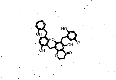 O=C1CCOc2c(Cc3cc(Cc4ccccc4O)ccc3O)c(O)c(Cc3cc(Cl)ccc3O)c(O)c21